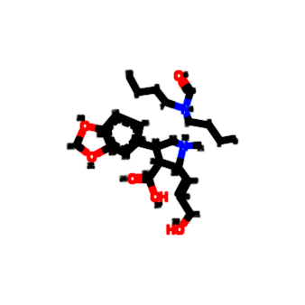 CCCCN(C=O)CCCC.CN1CC(c2ccc3c(c2)OCO3)C(C(=O)O)C1C=CCO